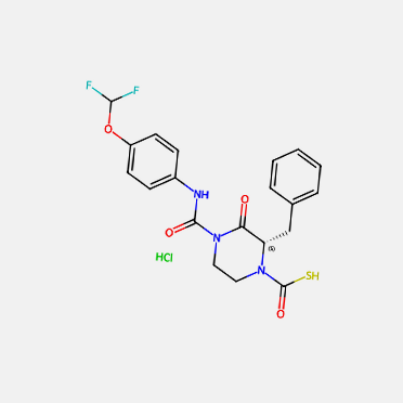 Cl.O=C(Nc1ccc(OC(F)F)cc1)N1CCN(C(=O)S)[C@@H](Cc2ccccc2)C1=O